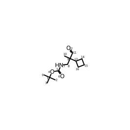 CC(C)(C)OC(=O)NCC(C)(C=O)C1CCC1